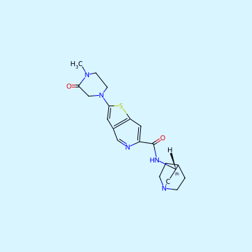 CN1CCN(c2cc3cnc(C(=O)N[C@H]4CN5CCC4CC5)cc3s2)CC1=O